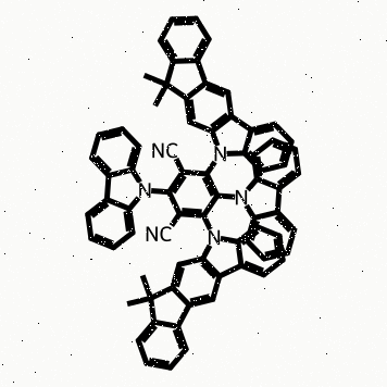 CC1(C)c2ccccc2-c2cc3c4ccccc4n(-c4c(C#N)c(-n5c6ccccc6c6ccccc65)c(C#N)c(-n5c6ccccc6c6cc7c(cc65)C(C)(C)c5ccccc5-7)c4-n4c5ccccc5c5ccccc54)c3cc21